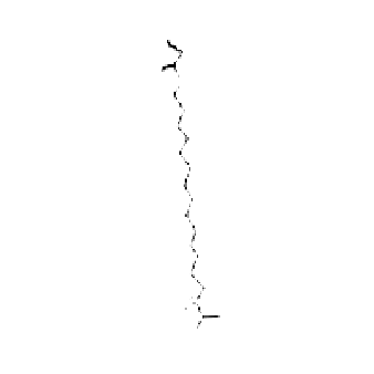 C=CC(=O)OCCCCCCCCCCCCCC[SiH2]C(I)I